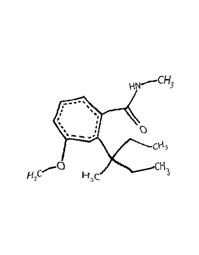 CCC(C)(CC)c1c(OC)cccc1C(=O)NC